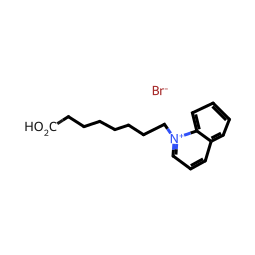 O=C(O)CCCCCCC[n+]1cccc2ccccc21.[Br-]